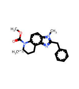 COC(=O)N1c2ccc3c(nc(Cc4ccccc4)n3C)c2CC[C@@H]1C